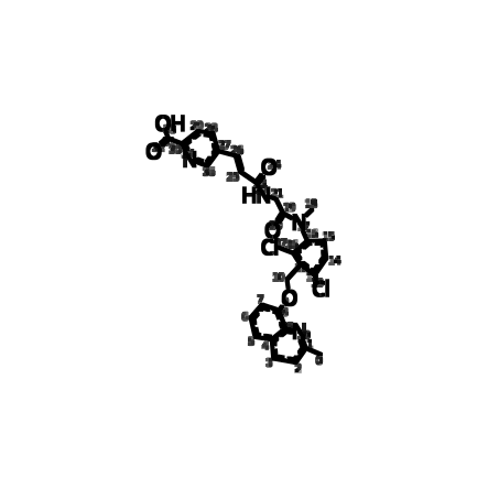 Cc1ccc2cccc(OCc3c(Cl)ccc(N(C)C(=O)CNC(=O)C=Cc4ccc(C(=O)O)nc4)c3Cl)c2n1